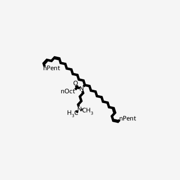 CCCCC/C=C\C/C=C\CCCCCCCCC(CCCCCCCC/C=C\C/C=C\CCCCC)N(CCCCN(C)C)C(=O)CCCCCCCC